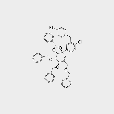 CCc1ccc(Cc2cc([C@]3(O)C=C(COCc4ccccc4)[C@@H](OCc4ccccc4)[C@H](OCc4ccccc4)[C@H]3OCc3ccccc3)ccc2Cl)cc1